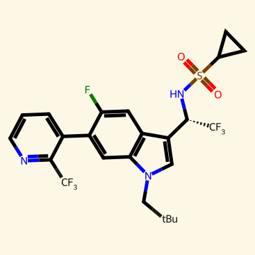 CC(C)(C)Cn1cc([C@H](NS(=O)(=O)C2CC2)C(F)(F)F)c2cc(F)c(-c3cccnc3C(F)(F)F)cc21